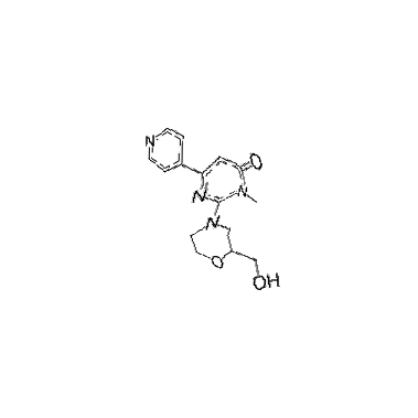 Cn1c(N2CCOC(CO)C2)nc(-c2ccncc2)cc1=O